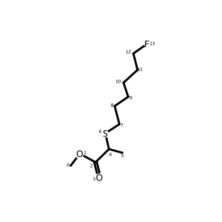 COC(=O)C(C)SCCCCCCF